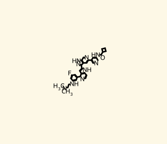 CN(C)CCNc1cc(F)cc(-c2nccc3[nH]c(-c4n[nH]c5cnc(-c6cncc(NC(=O)C7CCC7)c6)cc45)cc23)c1